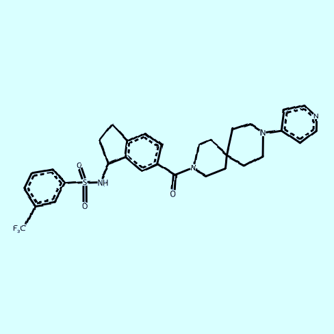 O=C(c1ccc2c(c1)C(NS(=O)(=O)c1cccc(C(F)(F)F)c1)CC2)N1CCC2(CC1)CCN(c1ccncc1)CC2